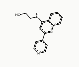 OCCNc1nc(-c2ccncc2)nc2cnccc12